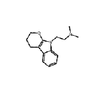 CN(C)CCn1c2c(c3ccccc31)CCCO2